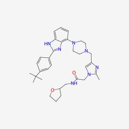 Cc1nc(CN2CCN(c3cccc4[nH]c(-c5ccc(C(C)(C)C)cc5)nc34)CC2)cn1CC(=O)NCC1CCCO1